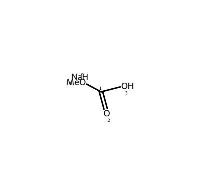 COC(=O)O.[NaH]